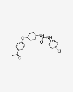 CC(=O)c1ccc(OC2CCC(NC(=O)Nc3ccc(Cl)cc3)CC2)cc1